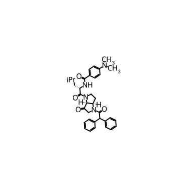 CC(C)C[C@H](NC(=O)c1ccc(N(C)C)cc1)C(=O)N1CC[C@@H]2[C@H]1C(=O)CN2C(=O)C(c1ccccc1)c1ccccc1